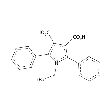 CC(C)(C)Cn1c(-c2ccccc2)c(C(=O)O)c(C(=O)O)c1-c1ccccc1